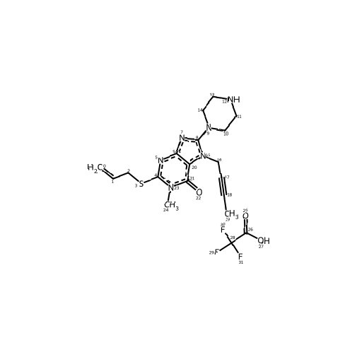 C=CCSc1nc2nc(N3CCNCC3)n(CC#CC)c2c(=O)n1C.O=C(O)C(F)(F)F